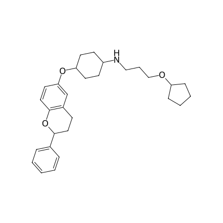 c1ccc(C2CCc3cc(OC4CCC(NCCCOC5CCCC5)CC4)ccc3O2)cc1